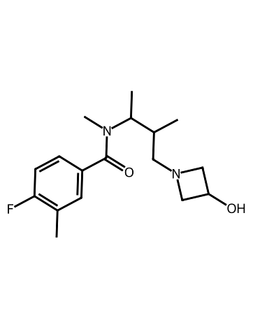 Cc1cc(C(=O)N(C)C(C)C(C)CN2CC(O)C2)ccc1F